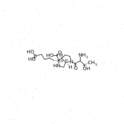 C[C@H](O)C(N)C(=O)N1CC[C@H]2[C@@H]1CN[C@@]2(CCCCB(O)O)C(=O)O